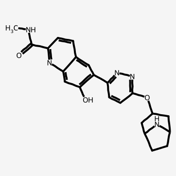 CNC(=O)c1ccc2cc(-c3ccc(OC4CC5CCC(C4)N5)nn3)c(O)cc2n1